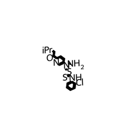 CC(C)CC(=O)c1ccc(N(N)CSC(=S)Nc2ccccc2Cl)cn1